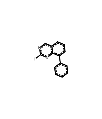 Fc1ncc2cccc(-c3ccccc3)c2n1